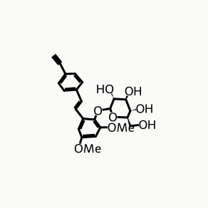 C#Cc1ccc(/C=C/c2cc(OC)cc(OC)c2OC2O[C@H](CO)[C@@H](O)[C@H](O)[C@H]2O)cc1